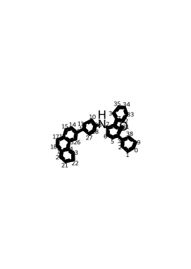 c1ccc(-c2ccc(Nc3ccc(-c4ccc5ccc6ccccc6c5c4)cc3)c3c2oc2ccccc23)cc1